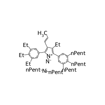 CC=CC1=C(c2cc(CC)c(CC)c(CC)c2)[N+](=[N-])C(c2cc(CCCCC)c(CCCCC)c(CCCCC)c2)=C1CC.CCCC[CH2][Ni][CH2]CCCC